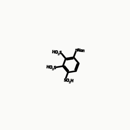 CCCCCCCCCc1ccc(S(=O)(=O)O)c(S(=O)(=O)O)c1S(=O)(=O)O